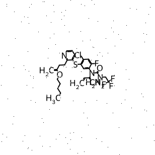 C=CC(=C)N(C(=O)N(N)CC(F)(F)F)c1cc(Sc2cccnc2CCC(=C)OCCCCC)c(Cl)cc1F